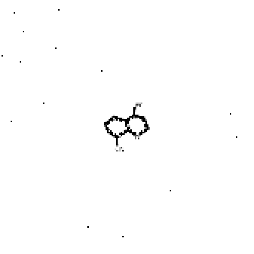 CC(C)c1ccnc2c(C#N)cccc12